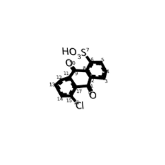 O=C1c2cccc(S(=O)(=O)O)c2C(=O)c2cccc(Cl)c21